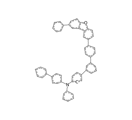 c1ccc(-c2ccc(N(c3ccccc3)c3ccc(-c4cccc(-c5ccc(-c6ccc7oc8ccc(-c9ccccc9)cc8c7c6)cc5)c4)cc3)cc2)cc1